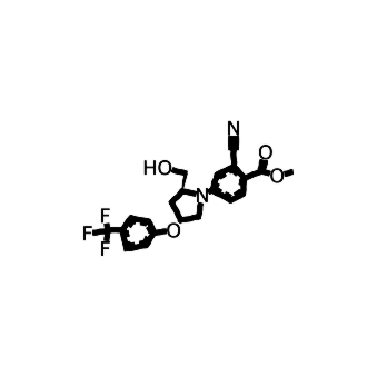 COC(=O)c1ccc(N2C[C@@H](Oc3ccc(C(F)(F)F)cc3)C[C@H]2CO)cc1C#N